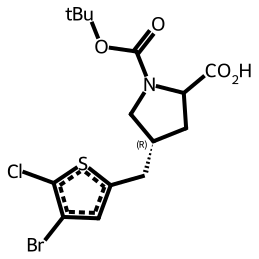 CC(C)(C)OC(=O)N1C[C@@H](Cc2cc(Br)c(Cl)s2)CC1C(=O)O